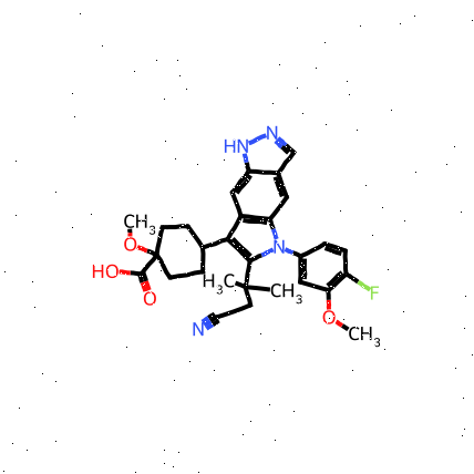 COc1cc(-n2c(C(C)(C)CC#N)c(C3CCC(OC)(C(=O)O)CC3)c3cc4[nH]ncc4cc32)ccc1F